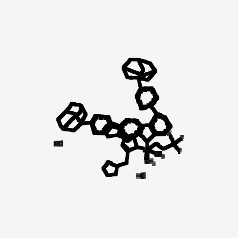 Cl.Cl.[CH3][Zr](=[SiH2])([CH2]CC(F)(F)F)([CH]1C(CC2CCCC2)=Cc2c(-c3ccc(C45CC6CC(CC(C6)C4)C5)cc3)cccc21)[CH]1C(CC2CCCC2)=Cc2c(-c3ccc(C45CC6CC(CC(C6)C4)C5)cc3)cccc21